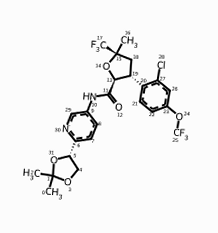 CC1(C)OC[C@@H](c2ccc(NC(=O)[C@H]3O[C@@](C)(C(F)(F)F)C[C@@H]3c3ccc(OC(F)(F)F)cc3Cl)cn2)O1